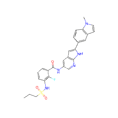 CCCS(=O)(=O)Nc1cccc(C(=O)Nc2cnc3[nH]c(-c4ccc5c(ccn5C)c4)cc3c2)c1F